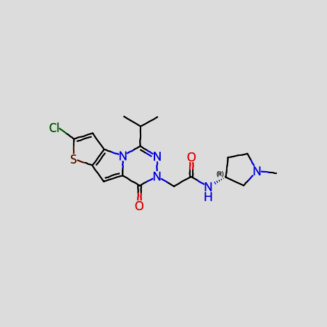 CC(C)c1nn(CC(=O)N[C@@H]2CCN(C)C2)c(=O)c2cc3sc(Cl)cc3n12